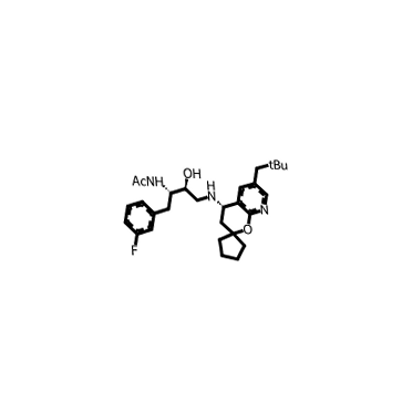 CC(=O)N[C@@H](Cc1cccc(F)c1)[C@@H](O)CN[C@H]1CC2(CCCC2)Oc2ncc(CC(C)(C)C)cc21